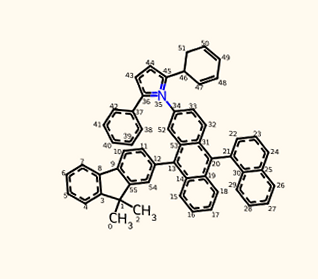 CC1(C)c2ccccc2-c2ccc(-c3c4ccccc4c(-c4cccc5ccccc45)c4ccc(-n5c(-c6ccccc6)ccc5C5C=CC=CC5)cc34)cc21